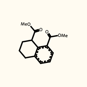 COC(=O)c1cccc2c1C(C(=O)OC)CCC2